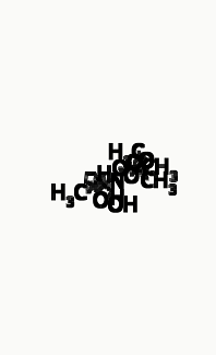 CC[C@@]12CC=C[C@@H]1[C@](CNC(=O)O[C@@H](OC(C)=O)C(C)C)(CC(=O)O)C2